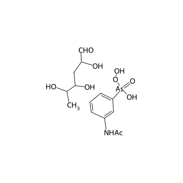 CC(=O)Nc1cccc([As](=O)(O)OO)c1.CC(O)C(O)CC(O)C=O